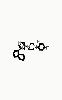 Fc1ccc(N2CCN(c3cncc(-c4cccc5ccccc45)n3)CC2)c(F)c1